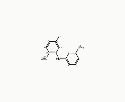 CSc1cccc(Nc2nc(C)ccc2C=O)c1